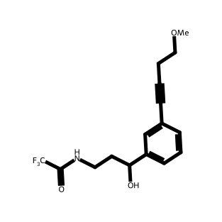 COCCC#Cc1cccc(C(O)CCNC(=O)C(F)(F)F)c1